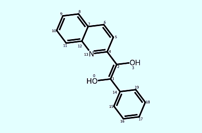 OC(=C(O)c1ccc2ccccc2n1)c1ccccc1